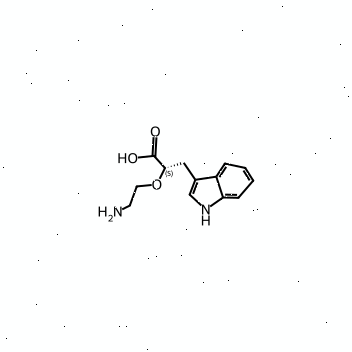 NCCO[C@@H](Cc1c[nH]c2ccccc12)C(=O)O